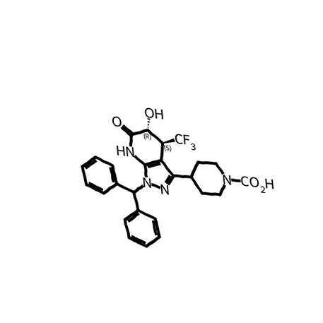 O=C1Nc2c(c(C3CCN(C(=O)O)CC3)nn2C(c2ccccc2)c2ccccc2)[C@H](C(F)(F)F)[C@H]1O